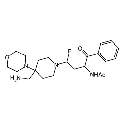 CC(=O)NC(CC(F)N1CCC(CN)(N2CCOCC2)CC1)C(=O)c1ccccc1